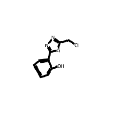 Oc1ccccc1-c1nnc(CCl)o1